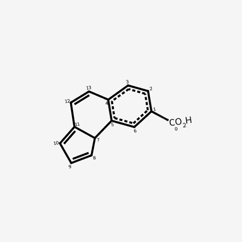 O=C(O)c1ccc2c(c1)C1C=CC=C1C=C2